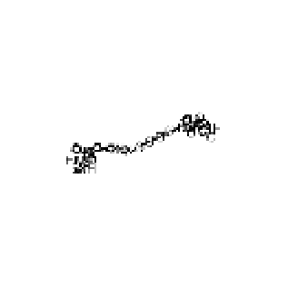 O=C1CCC(N2C(=O)c3cccc(NCCOCCOCCOCCOCCN4CCN(c5ccc(-c6ccc7c(c6)C(=O)N(C(C(=O)NC6NC=CS6)c6ccccc6)C7)cc5)CC4)c3C2=O)C(=O)N1